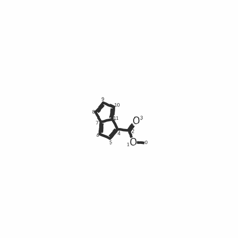 COC(=O)C1=CC=C2C=CC=C21